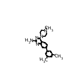 Cc1cc(C)cc(-c2ccc3c(N4CCN(C)CC4)nc(N)nc3c2)c1